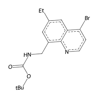 CCc1cc(CNC(=O)OC(C)(C)C)c2nccc(Br)c2c1